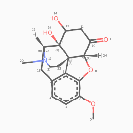 COc1ccc2c3c1O[C@H]1C(=O)CC(O)[C@@]4(O)[C@@H](C2)N(C)CC[C@]314